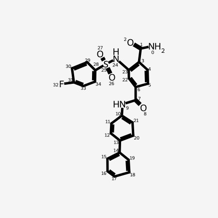 NC(=O)c1ccc(C(=O)Nc2ccc(-c3ccccc3)cc2)cc1NS(=O)(=O)c1ccc(F)cc1